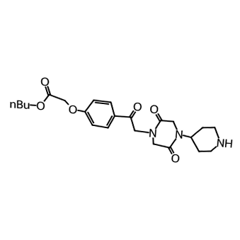 CCCCOC(=O)COc1ccc(C(=O)CN2CC(=O)N(C3CCNCC3)CC2=O)cc1